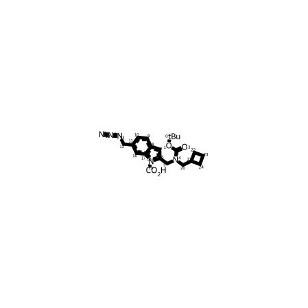 CC(C)(C)OC(=O)N(Cc1cc2ccc(CN=[N+]=[N-])cc2n1C(=O)O)CC1CCC1